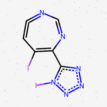 IC1=C(c2nnnn2I)N=CN=C=C1